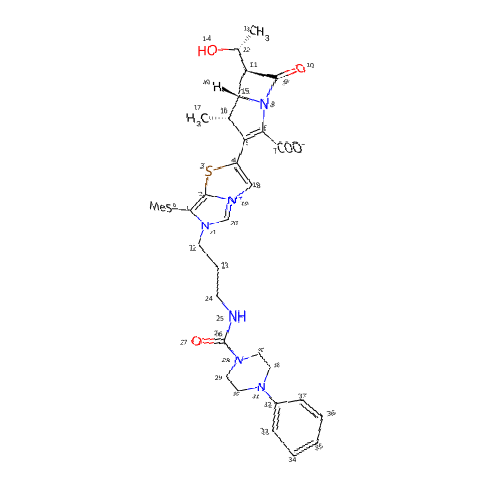 CSc1c2sc(C3=C(C(=O)[O-])N4C(=O)[C@H]([C@@H](C)O)[C@H]4[C@H]3C)c[n+]2cn1CCCNC(=O)N1CCN(c2ccccc2)CC1